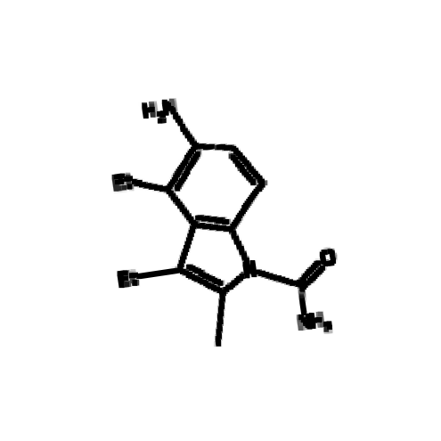 CCc1c(N)ccc2c1c(CC)c(C)n2C(N)=O